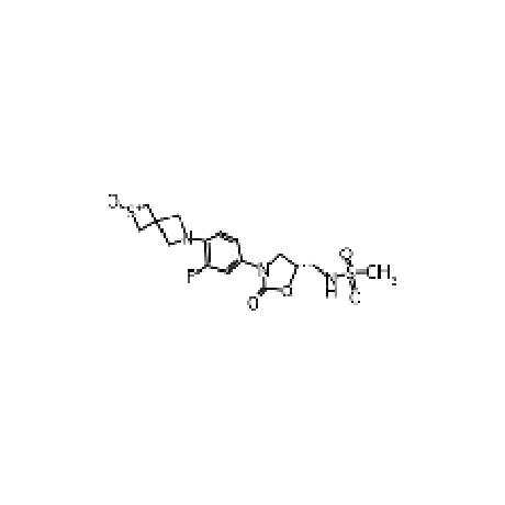 CS(=O)(=O)NC[C@H]1CN(c2ccc(N3CC4(C3)C[S+]([O-])C4)c(F)c2)C(=O)O1